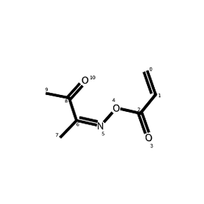 C=CC(=O)ON=C(C)C(C)=O